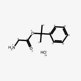 CC(C)(OC(=O)CN)c1ccccc1.Cl